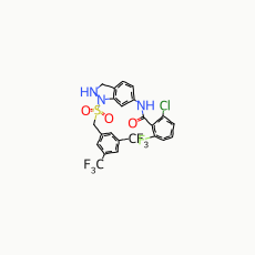 O=C(Nc1ccc2c(c1)N(S(=O)(=O)Cc1cc(C(F)(F)F)cc(C(F)(F)F)c1)NC2)c1c(F)cccc1Cl